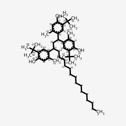 CCCCCCCCCCCCCCCC(CC(c1cc(C(C)(C)C)c(O)cc1C)c1cc(C(C)(C)C)c(O)cc1C)c1cc(C(C)(C)C)c(O)cc1C